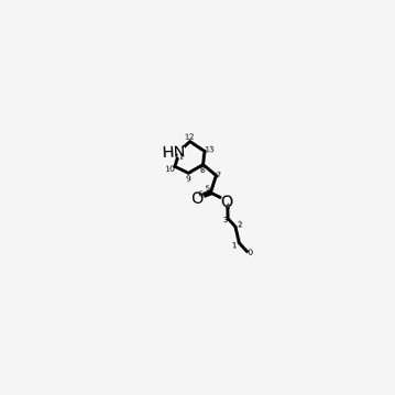 CCCCOC(=O)CC1CCNCC1